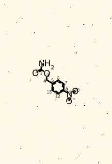 NC(=O)OCc1ccc([N+](=O)[O-])cc1